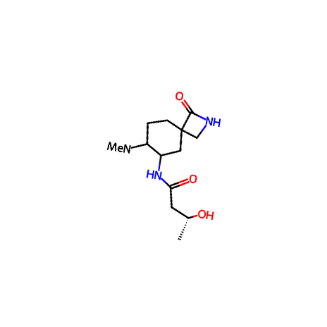 CNC1CCC2(CNC2=O)CC1NC(=O)C[C@@H](C)O